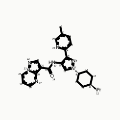 Cc1ccc(-c2nn([C@H]3CC[C@H](C(C)C)CC3)cc2NC(=O)c2cnn3cccnc23)nc1